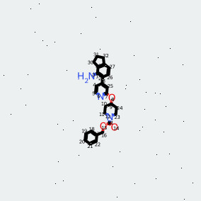 Nc1c(-c2ccnc(OC3CCN(C(=O)OCc4ccccc4)CC3)c2)ccc2c1CCC2